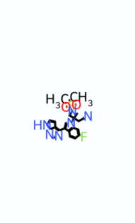 CC(C)S(=O)(=O)N1CC(CC#N)(n2cc(-c3ncnc4[nH]ccc34)c3ccc(F)cc32)C1